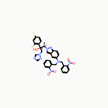 C[C@@H](n1cc2cc(N(Cc3ccccc3[N+](=O)[O-])Cc3ccccc3[N+](=O)[O-])ccc2n1)[C@](O)(Cn1cncn1)c1ccc(F)cc1F